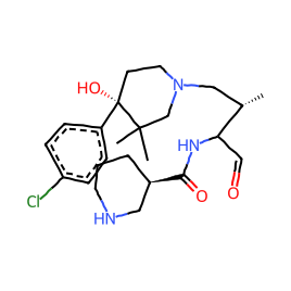 C[C@@H](CN1CC[C@](O)(c2ccc(Cl)cc2)C(C)(C)C1)C(C=O)NC(=O)[C@@H]1CCCNC1